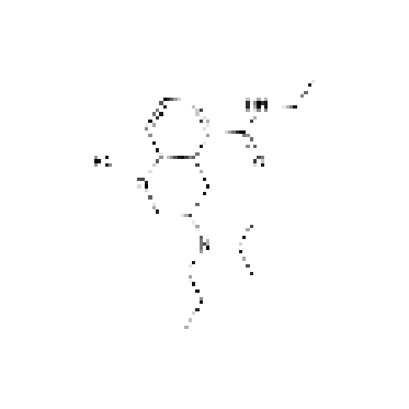 CCCN(C(C)C)C1COc2cccc(C(=O)NCC)c2C1.Cl